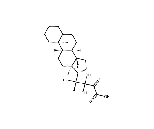 C[C@]12CC[C@H]3[C@@H](CCC4CCCC[C@@]43C)[C@@H]1CC[C@@H]2[C@@](C)(O)C(O)(O)C(=O)C(=O)O